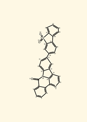 O=c1c2ccccc2c2nccc3c4cc(-c5ccc6c(c5)S(=O)(=O)c5ccccc5-6)ccc4n1c32